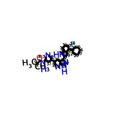 CC(C)C(=O)Nc1cncc(-c2cnc3[nH]nc(-c4cc5c(C6=C(F)CC=CC=C6)cccc5[nH]4)c3c2)c1